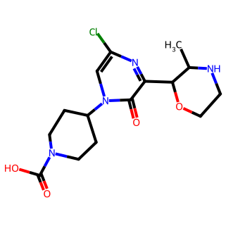 CC1NCCOC1c1nc(Cl)cn(C2CCN(C(=O)O)CC2)c1=O